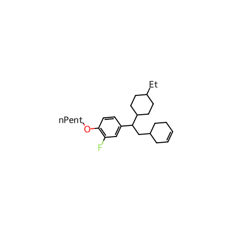 CCCCCOc1ccc(C(CC2CC=CCC2)C2CCC(CC)CC2)cc1F